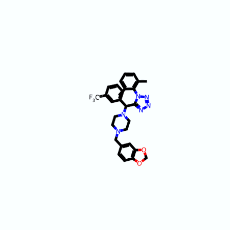 Cc1cccc(C)c1-n1nnnc1C(c1cccc(C(F)(F)F)c1)N1CCN(Cc2ccc3c(c2)OCO3)CC1